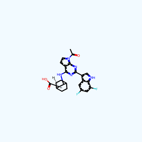 CC(=O)n1ccc2c(NC3C4CCC(CC4)[C@H]3C(=O)O)nc(-c3c[nH]c4c(F)cc(F)cc34)nc21